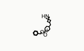 O=C(OCc1ccccc1)N1CCC(CC2CC3(CNC3)C2)CC1